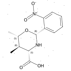 C[C@H]1[C@H](C)O[C@H](c2ccccc2[N+](=O)[O-])N[C@@H]1C(=O)O